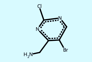 NCc1nc(Cl)ncc1Br